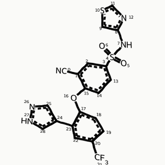 N#Cc1cc(S(=O)(=O)Nc2cscn2)ccc1Oc1ccc(C(F)(F)F)cc1-c1cn[nH]c1